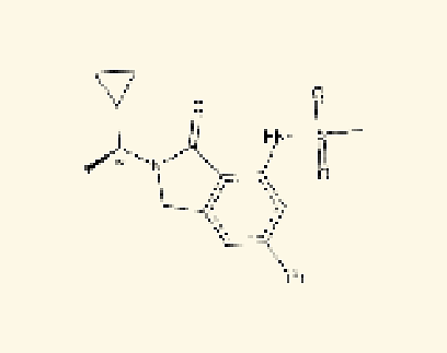 CC(C)c1cc2c(c(NS(C)(=O)=O)c1)C(=O)N([C@@H](C)C1CC1)C2